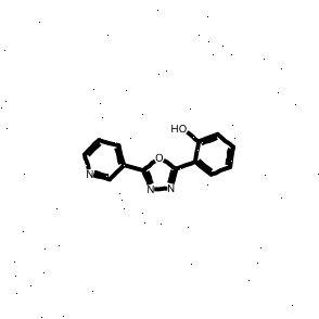 Oc1ccccc1-c1nnc(-c2cccnc2)o1